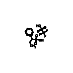 CCC([n+]1ccccc1)S(=O)(=O)O.O=S(=O)(O)C(F)(F)F